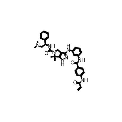 C=CC(=O)Nc1ccc(C(=O)Nc2cccc(Nc3n[nH]c4c3CN(C(=O)NC(CN(C)C)c3ccccc3)C4(C)C)c2)cc1